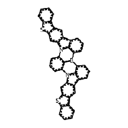 c1cc2c3c(c1)-n1c4cc5sc6ccccc6c5cc4c4cccc(c41)B3c1cccc3c4cc5c(cc4n-2c13)sc1ccccc15